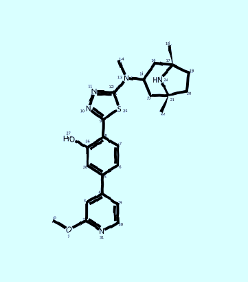 COc1cc(-c2ccc(-c3nnc(N(C)C4C[C@]5(C)CC[C@](C)(C4)N5)s3)c(O)c2)ccn1